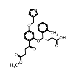 COC(=O)CCC(=O)c1ccc(OCc2ccsc2)cc1O[C@@H](CCC(=O)O)c1ccccc1C